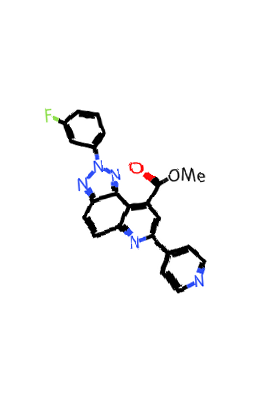 COC(=O)c1cc(-c2ccncc2)nc2ccc3nn(-c4cccc(F)c4)nc3c12